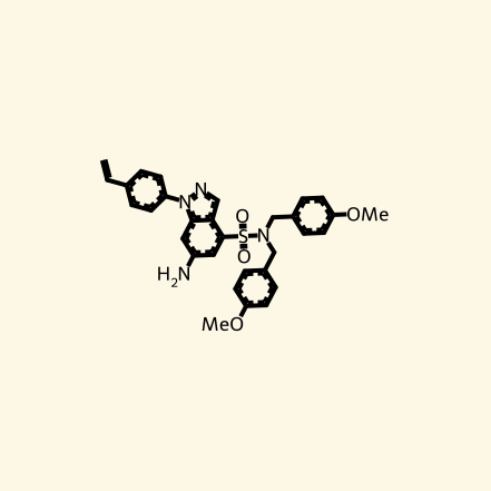 C=Cc1ccc(-n2ncc3c(S(=O)(=O)N(Cc4ccc(OC)cc4)Cc4ccc(OC)cc4)cc(N)cc32)cc1